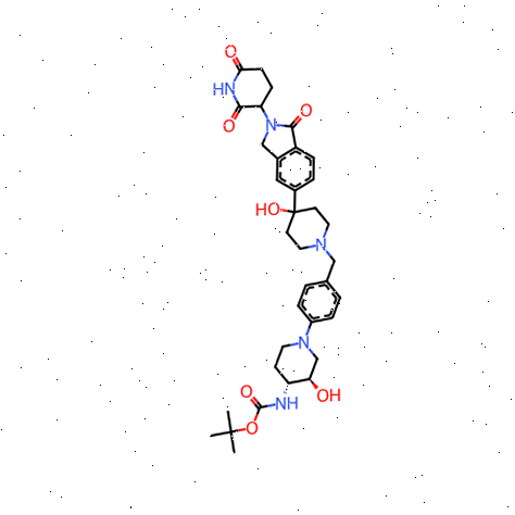 CC(C)(C)OC(=O)N[C@@H]1CCN(c2ccc(CN3CCC(O)(c4ccc5c(c4)CN(C4CCC(=O)NC4=O)C5=O)CC3)cc2)C[C@H]1O